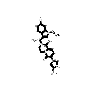 COn1cc([C@@H](C)N2CCn3c(ccc(-n4cnc(C)c4)c3=O)C2=O)c2ccc(Cl)cc21